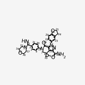 N=C(c1ccc(N2CC3(CC3)c3c(C(N)=O)nn(-c4ccc5c(c4)CCO5)c3C2=O)cc1)N1CCOCC1